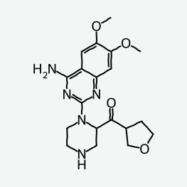 COc1cc2nc(N3CCNCC3C(=O)C3CCOC3)nc(N)c2cc1OC